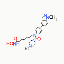 CCN1CCN(C(=O)N(CCCCCCC(=O)NO)c2ccc(-c3ccc4c(cnn4C)c3)cc2)CC1